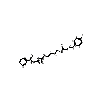 O=C(COCc1ccc(F)cc1)NCCCCCc1csc(NC(=O)c2ccccc2)n1